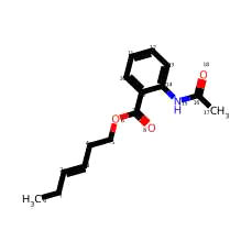 CC/C=C/CCOC(=O)c1ccccc1NC(C)=O